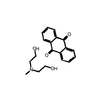 CN(CCO)CCO.O=C1c2ccccc2C(=O)c2ccccc21